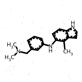 Cc1c(Nc2cccc(CN(C)C)c2)ccc2[nH]ccc12